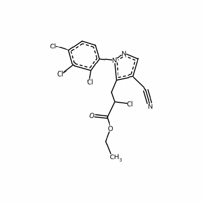 CCOC(=O)C(Cl)Cc1c(C#N)cnn1-c1ccc(Cl)c(Cl)c1Cl